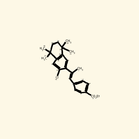 CCOC(=O)c1ccc(/C=C(\C)c2cc3c(cc2Cl)C(C)(C)CCC3(C)C)cc1